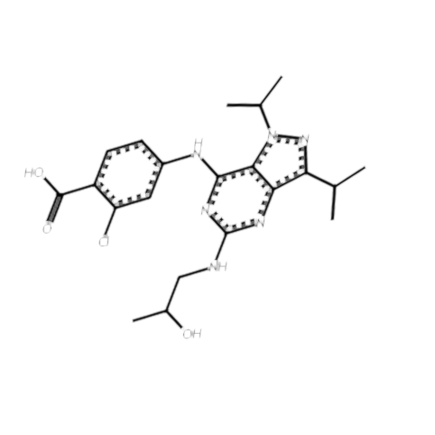 CC(O)CNc1nc(Nc2ccc(C(=O)O)c(Cl)c2)c2c(n1)c(C(C)C)nn2C(C)C